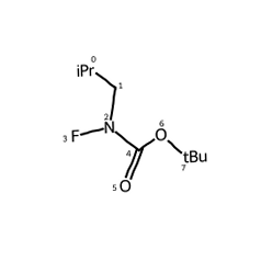 CC(C)CN(F)C(=O)OC(C)(C)C